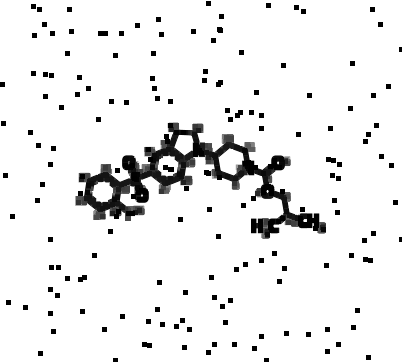 CC(C)COC(=O)N1CCC(N2CCc3cc(S(=O)(=O)c4ccccc4F)ccc32)CC1